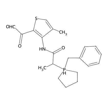 Cc1csc(C(=O)C=O)c1NC(=O)C(C)[PH]1(Cc2ccccc2)CCCC1